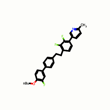 CCCCOc1ccc(-c2ccc(CCc3ccc(-c4ccc(C)nc4)c(F)c3F)cc2)cc1F